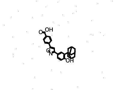 O=C(O)c1ccc(-c2cc(-c3ccc(O)c(C45CC6CC(CC(C6)C4)C5)c3)no2)cc1